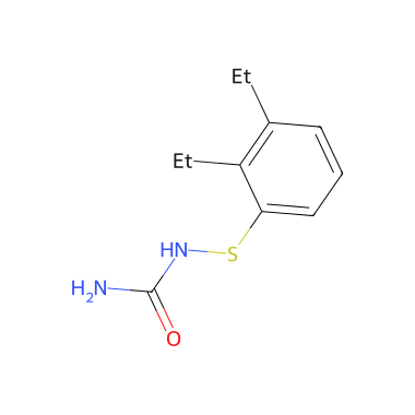 CCc1cccc(SNC(N)=O)c1CC